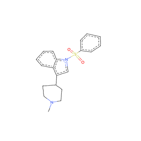 CN1CCC(c2cn(S(=O)(=O)c3ccccc3)c3ccccc23)CC1